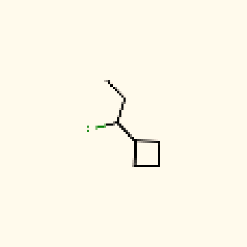 [CH2]CC(Cl)C1CCC1